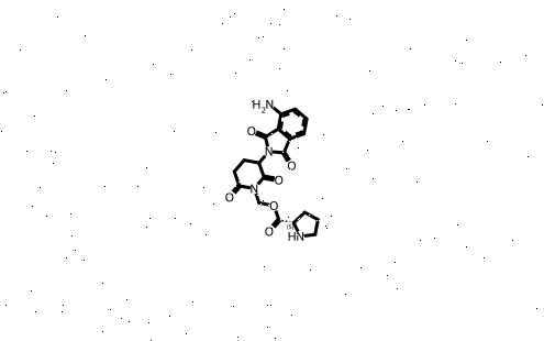 Nc1cccc2c1C(=O)N(C1CCC(=O)N(COC(=O)[C@@H]3CCCN3)C1=O)C2=O